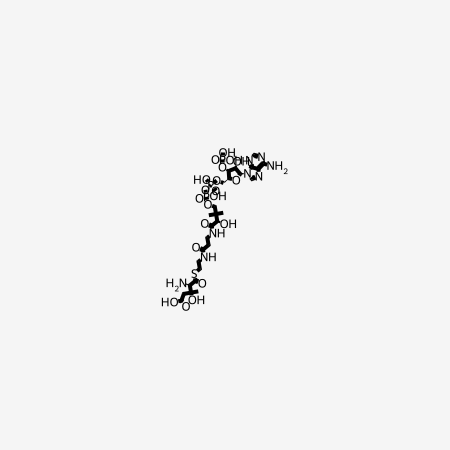 CC(C)(COP(=O)(O)OP(=O)(O)OC[C@H]1O[C@@H](n2cnc3c(N)ncnc32)[C@H](O)[C@@H]1OP(=O)(O)O)[C@@H](O)C(=O)NCCC(=O)NCCSC(=O)[C@@H](N)C(C)(O)CC(=O)O